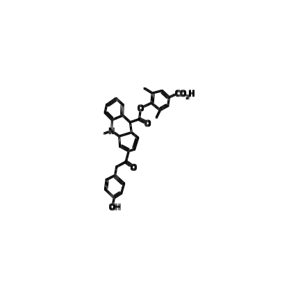 Cc1cc(C(=O)O)cc(C)c1OC(=O)C1c2ccccc2N(C)C2C=C(C(=O)Cc3ccc(O)cc3)C=CC12